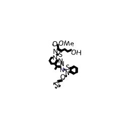 COC(=O)c1nc(N2CCCc3c2nnc(/N=c2\sc4ccccc4n2COCC[Si](C)(C)C)c3C)sc1CCCO